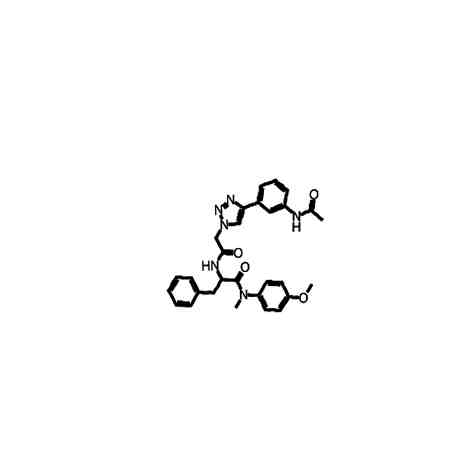 COc1ccc(N(C)C(=O)C(Cc2ccccc2)NC(=O)Cn2cc(-c3cccc(NC(C)=O)c3)nn2)cc1